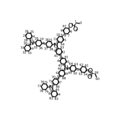 C=CC(=O)Oc1ccc(-c2ccc(N(c3ccc(-c4ccc(N(c5ccccc5)c5ccccc5)cc4)cc3)c3ccc(-c4ccc(N(c5ccc(-c6ccc(OC(=O)C=C)cc6)cc5)c5ccc(-c6ccc(N(c7ccccc7)c7ccccc7)cc6)cc5)cc4)cc3)cc2)cc1